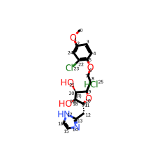 COc1ccc(OCCC2O[C@H](Cc3ncc[nH]3)[C@@H](O)[C@H]2O)c(Cl)c1.Cl